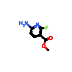 COC(=O)c1ccc(N)nc1F